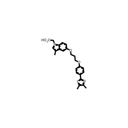 Cc1nc(-c2ccc(OCCCOc3ccc4c(c3)c(C)cn4CC(=O)O)cc2)sc1C